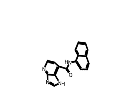 O=C(Nc1cccc2ccccc12)c1ccnc2nc[nH]c12